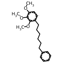 COc1c[c]c(CCCCCCc2ccccc2)c(OC)c1OC